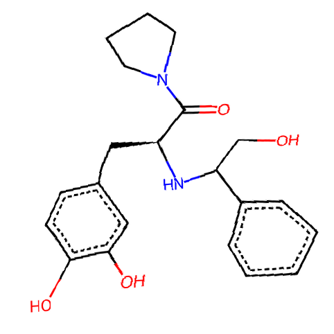 O=C([C@H](Cc1ccc(O)c(O)c1)NC(CO)c1ccccc1)N1CCCC1